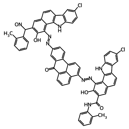 Cc1ccccc1NC(=O)c1cc2ccc3c4cc(Cl)ccc4[nH]c3c2c(N=Nc2ccc3c4c(cccc24)C(=O)c2cc(N=Nc4c(O)c(C(N=O)c5ccccc5C)cc5ccc6c7cc(Cl)ccc7[nH]c6c45)ccc2-3)c1O